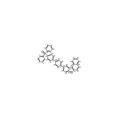 O=P(c1ccccc1)(c1ccccc1)c1ccc(-c2ccc(-c3ccc4oc5ccc6ccccc6c5c4c3)cc2)cc1